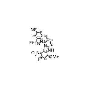 CCc1nn(-c2nc(Nc3cc([N+](=O)[O-])c(F)cc3OC)ncc2C)c2ccc(C#N)cc12